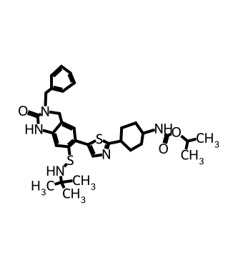 CC(C)OC(=O)NC1CCC(c2ncc(-c3cc4c(cc3SNC(C)(C)C)NC(=O)N(Cc3ccccc3)C4)s2)CC1